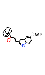 COc1ccc2ncc(C=CC(=O)C34CC5CC(CC(C5)C3)C4)cc2c1